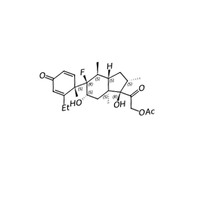 CCC1=CC(=O)C=C[C@]1(C)[C@@]1(F)[C@@H](O)C[C@@]2(C)[C@@H](C[C@H](C)[C@]2(O)C(=O)COC(C)=O)[C@@H]1C